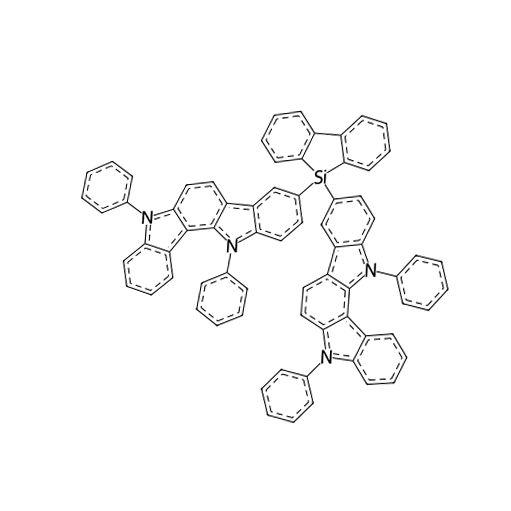 c1ccc(-n2c3ccccc3c3c2ccc2c4cc([Si]5(c6ccc7c(c6)c6ccc8c(c9ccccc9n8-c8ccccc8)c6n7-c6ccccc6)c6ccccc6-c6ccccc65)ccc4n(-c4ccccc4)c23)cc1